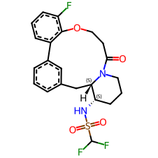 O=C1CCOc2c(F)cccc2-c2cccc(c2)C[C@H]2[C@@H](NS(=O)(=O)C(F)F)CCCN12